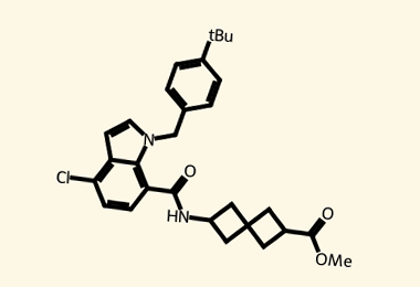 COC(=O)C1CC2(CC(NC(=O)c3ccc(Cl)c4ccn(Cc5ccc(C(C)(C)C)cc5)c34)C2)C1